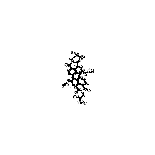 CCCCC(CC)CN1C(=O)c2ccc3c4c(SC#N)cc5c6c(ccc(c7c(N=C=S)cc(c2c37)C1=O)c64)C(=O)N(CC(CC)CCCC)C5=O